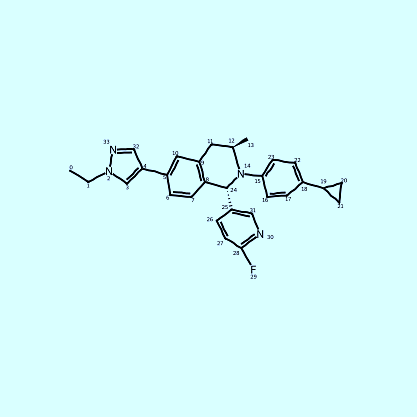 CCn1cc(-c2ccc3c(c2)C[C@@H](C)N(c2ccc(C4CC4)cc2)[C@@H]3c2ccc(F)nc2)cn1